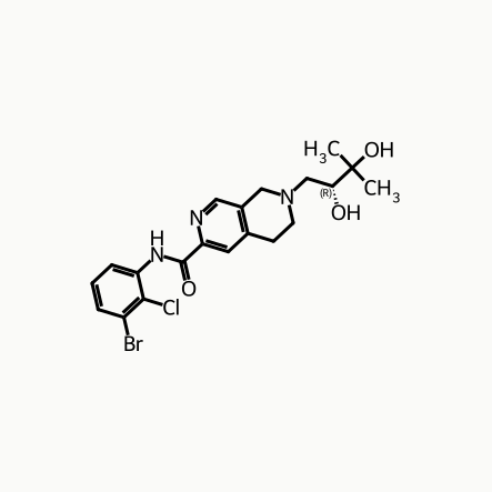 CC(C)(O)[C@H](O)CN1CCc2cc(C(=O)Nc3cccc(Br)c3Cl)ncc2C1